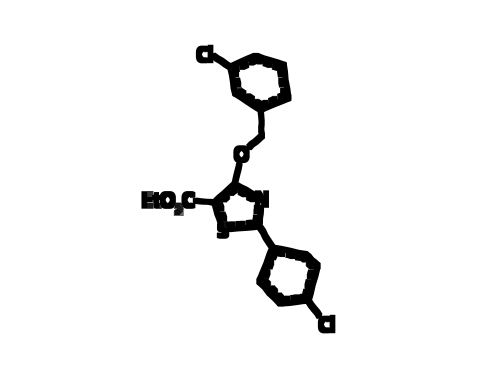 CCOC(=O)c1sc(-c2ccc(Cl)cc2)nc1OCc1cccc(Cl)c1